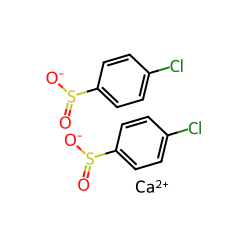 O=S([O-])c1ccc(Cl)cc1.O=S([O-])c1ccc(Cl)cc1.[Ca+2]